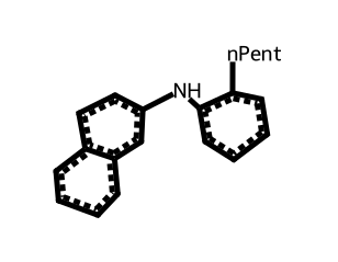 CCCCCc1ccccc1Nc1ccc2ccccc2c1